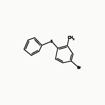 Cc1cc(Br)ccc1Sc1ccccc1